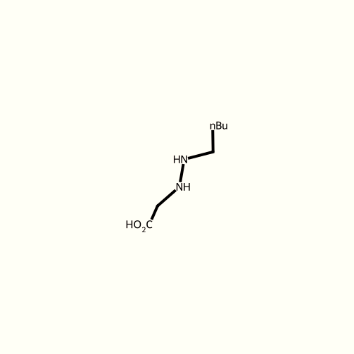 CCCCCNNCC(=O)O